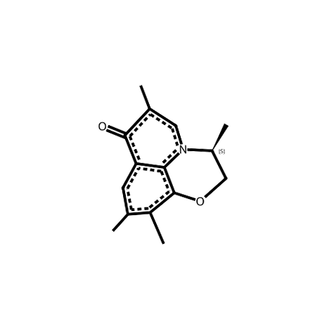 Cc1cc2c(=O)c(C)cn3c2c(c1C)OC[C@@H]3C